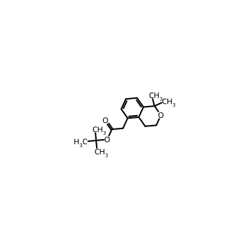 CC(C)(C)OC(=O)Cc1cccc2c1CCOC2(C)C